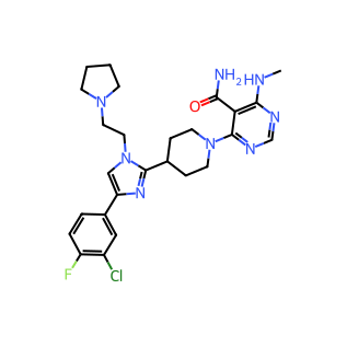 CNc1ncnc(N2CCC(c3nc(-c4ccc(F)c(Cl)c4)cn3CCN3CCCC3)CC2)c1C(N)=O